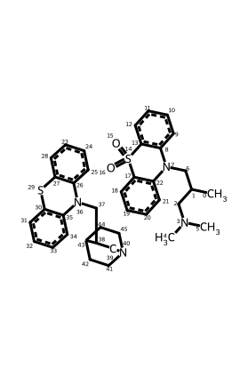 CC(CN(C)C)CN1c2ccccc2S(=O)(=O)c2ccccc21.c1ccc2c(c1)Sc1ccccc1N2CC1CN2CCC1CC2